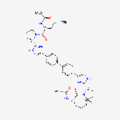 C#CCC[C@H](NC(=O)OC)C(=O)N1CCC[C@H]1c1nc(-c2ccc(-c3ccc(-c4c[nH]c([C@@H]5CC[C@@H]6CCC[C@H](NC(=O)OC)C(=O)N65)n4)cc3)cc2)c[nH]1